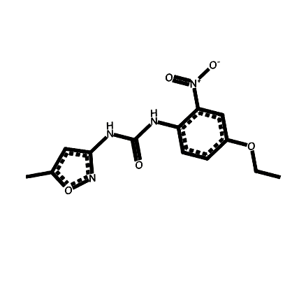 CCOc1ccc(NC(=O)Nc2cc(C)on2)c([N+](=O)[O-])c1